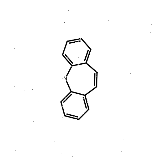 C1=Cc2ccccc2[N]c2ccccc21